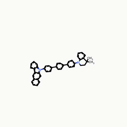 CC1(C)CCN(c2ccc(-c3ccc(-c4ccc(-n5c6ccccc6c6cc7ccccc7cc65)cc4)cc3)cc2)c2ccccc21